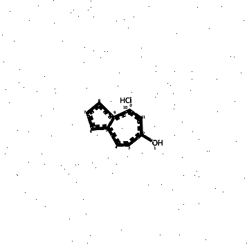 Cl.Oc1ccc2cccc-2cc1